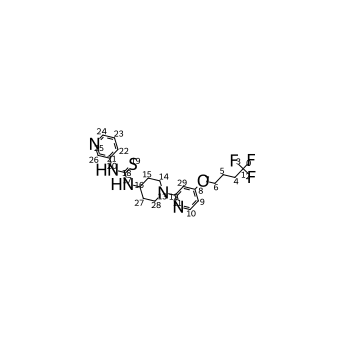 FC(F)(F)CCCOc1ccnc(N2CCC(NC(=S)Nc3cccnc3)CC2)c1